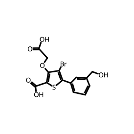 O=C(O)COc1c(C(=O)O)sc(-c2cccc(CO)c2)c1Br